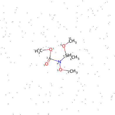 COC(=O)N(OC)[SiH](C)OC